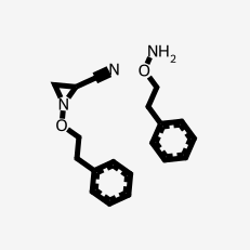 N#CC1CN1OCCc1ccccc1.NOCCc1ccccc1